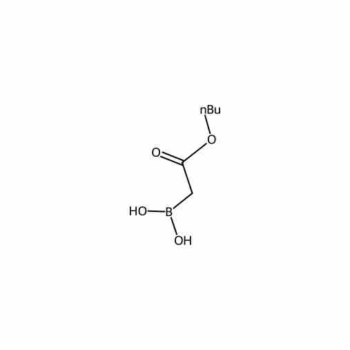 CCCCOC(=O)CB(O)O